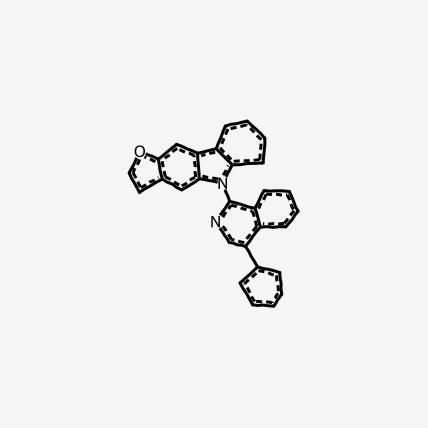 c1ccc(-c2cnc(-n3c4ccccc4c4cc5occc5cc43)c3ccccc23)cc1